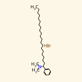 Br.CCCCCCCCCCCCCCCCCCCCC(c1ccccc1)N(C)C